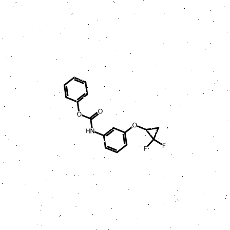 O=C(Nc1cccc(OC2CC2(F)F)c1)Oc1ccccc1